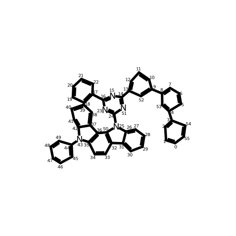 c1ccc(-c2cccc(-c3cccc(-c4nc(-c5ccccc5)nc(-n5c6ccccc6c6ccc7c(c8ccccc8n7-c7ccccc7)c65)n4)c3)c2)cc1